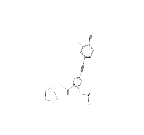 N#Cc1ccc(C#Cc2cc(NC(N)=O)c(C(=O)N[C@H]3CCCNC3)s2)cc1F